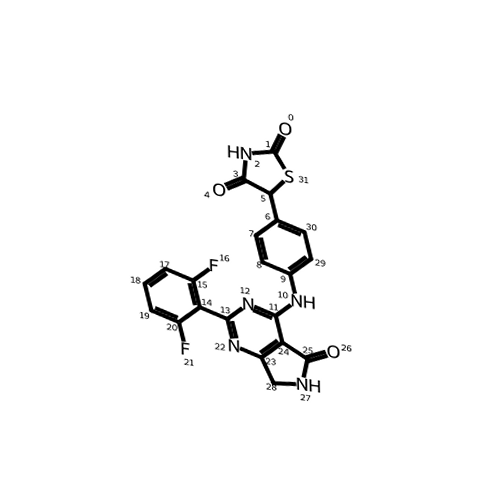 O=C1NC(=O)C(c2ccc(Nc3nc(-c4c(F)cccc4F)nc4c3C(=O)NC4)cc2)S1